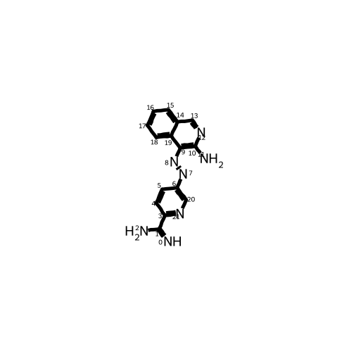 N=C(N)c1ccc(/N=N/c2c(N)ncc3ccccc23)cn1